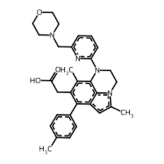 Cc1ccc(-c2c(CC(=O)O)c(C)c3c4c2cc(C)n4CCN3c2cccc(CN3CCOCC3)n2)cc1